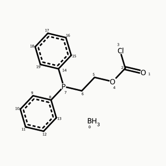 B.O=C(Cl)OCCP(c1ccccc1)c1ccccc1